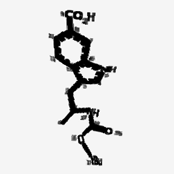 CC(Cc1c[nH]c2cc(C(=O)O)ccc12)NC(=O)OC(C)(C)C